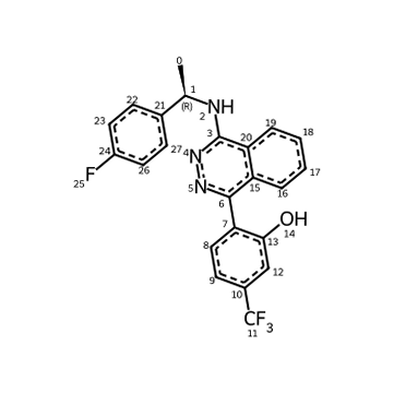 C[C@@H](Nc1nnc(-c2ccc(C(F)(F)F)cc2O)c2ccccc12)c1ccc(F)cc1